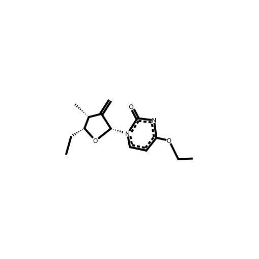 C=C1[C@@H](C)[C@@H](CC)O[C@H]1n1ccc(OCC)nc1=O